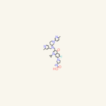 Cc1ccc(N2CCC[C@H](N(Cc3ccnc(C)c3)Cc3cn(C4CC4)c4cc(N5CC[C@H](N(C)C(=O)O)C5)c(F)cc4c3=O)C2)cn1